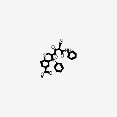 COC(=O)c1ccc2c(c1)-c1c(c(C(=O)C(C#N)C(=O)Nc3ccccc3)nn1-c1ccccc1)CS2